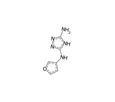 Nc1nnc(Nc2ccoc2)[nH]1